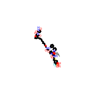 CC(C)(C)C(NC(=O)c1cc2cc(C(F)(F)P(=O)(O)O)ccc2s1)C(=O)N1C[C@@H](OCC(=O)NCCCCCCCCC#Cc2cccc3c2C(=O)N(C2CCC(=O)NC2=O)C3=O)C[C@H]1C(=O)N1CCC[C@H](c2ccccc2)C1